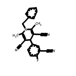 CC1=C(C#N)C(c2ccc(F)c(C#N)c2)C(C#N)=C(C)N1Cc1ccccc1